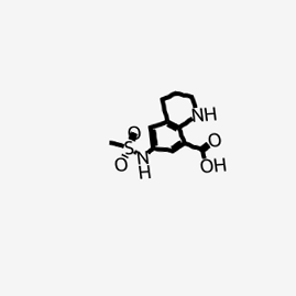 CS(=O)(=O)Nc1cc2c(c(C(=O)O)c1)NCCC2